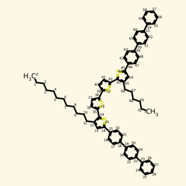 CCCCCCCCCCCCc1cc(-c2ccc(-c3ccc(-c4ccccc4)cc3)cc2)sc1-c1ccc(-c2ccc(-c3sc(-c4ccc(-c5ccc(-c6ccccc6)cc5)cc4)cc3CCCCCC)s2)s1